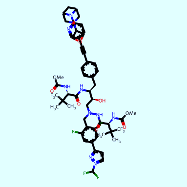 COC(=O)N[C@H](C(=O)N[C@@H](Cc1ccc(C#Cc2ccc(N3C4CC3CN(C3COC3)C4)nc2)cc1)[C@@H](O)CN(Cc1c(F)cc(-c2ccn(C(F)F)n2)cc1F)NC(=O)[C@@H](NC(=O)OC)C(C)(C)C(F)(F)F)C(C)(C)C(F)(F)F